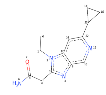 CCn1c([CH]C(N)=O)nc2cnc(C3CC3)cc21